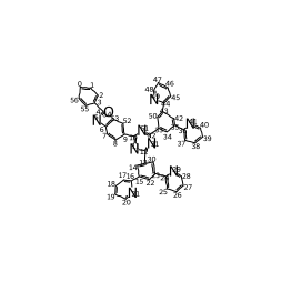 c1ccc(-c2nc3ccc(-c4nc(-c5cc(-c6ccccn6)cc(-c6ccccn6)c5)nc(-c5cc(-c6ccccn6)cc(-c6ccccn6)c5)n4)cc3o2)cc1